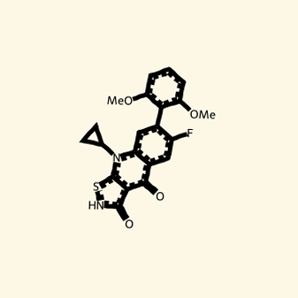 COc1cccc(OC)c1-c1cc2c(cc1F)c(=O)c1c(=O)[nH]sc1n2C1CC1